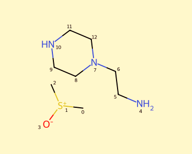 C[S+](C)[O-].NCCN1CCNCC1